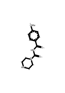 COc1ccc(C(=O)NC(=O)N2CCNCC2)cc1